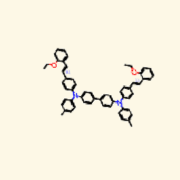 CCOc1ccccc1/C=C/c1ccc(N(c2ccc(C)cc2)c2ccc(-c3ccc(N(c4ccc(C)cc4)c4ccc(/C=C/c5ccccc5OCC)cc4)cc3)cc2)cc1